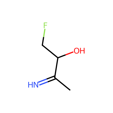 CC(=N)C(O)CF